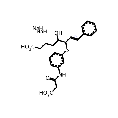 O=C(O)CCCC(O)C(/C=C/c1ccccc1)Sc1cccc(NC(=O)CC(=O)O)c1.[NaH].[NaH]